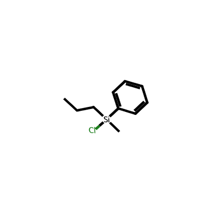 CCC[Si](C)(Cl)c1ccccc1